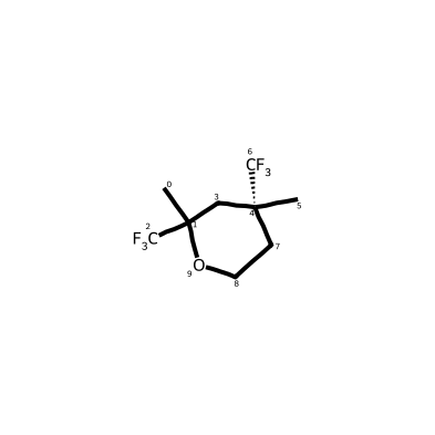 CC1(C(F)(F)F)C[C@](C)(C(F)(F)F)CCO1